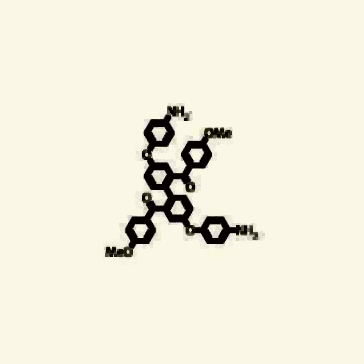 COc1ccc(C(=O)c2cc(Oc3ccc(N)cc3)ccc2-c2ccc(Oc3ccc(N)cc3)cc2C(=O)c2ccc(OC)cc2)cc1